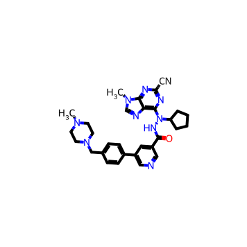 CN1CCN(Cc2ccc(-c3cncc(C(=O)NN(c4nc(C#N)nc5c4ncn5C)C4CCCC4)c3)cc2)CC1